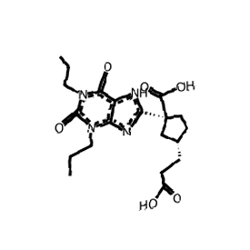 CCCn1c(=O)c2[nH]c([C@]3(C(=O)O)CC[C@H](CCC(=O)O)C3)nc2n(CCC)c1=O